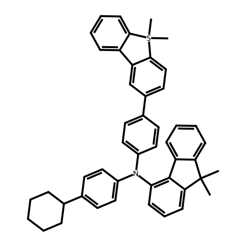 CC1(C)c2ccccc2-c2c(N(c3ccc(-c4ccc5c(c4)-c4ccccc4S5(C)C)cc3)c3ccc(C4CCCCC4)cc3)cccc21